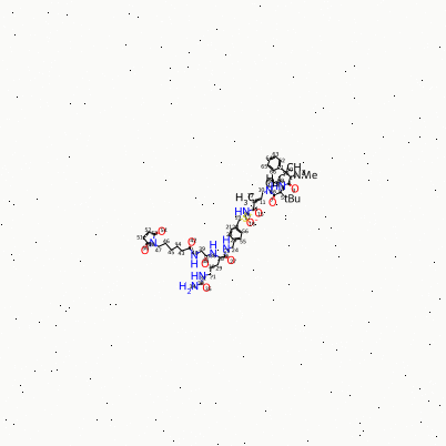 CNC(C(=O)NC(C(=O)N(C)C/C=C(\C)C(=O)N[S+]([O-])Cc1ccc(CNC(=O)C(CCCNC(N)=O)NC(=O)CNC(=O)CCCCCN2C(=O)C=CC2=O)cc1)C(C)(C)C)C(C)(C)c1ccccc1